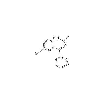 CC(N)C=C(c1ccccc1)c1cccc(Br)c1